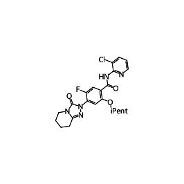 CCCC(C)Oc1cc(-n2nc3n(c2=O)CCCC3)c(F)cc1C(=O)Nc1ncccc1Cl